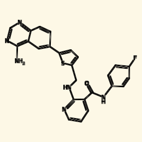 Nc1ncnc2ccc(-c3ccc(CNc4ncccc4C(=O)Nc4ccc(F)cc4)s3)cc12